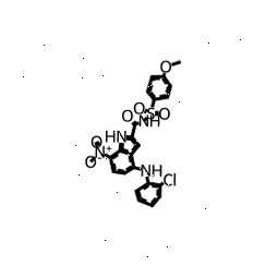 COc1ccc(S(=O)(=O)NC(=O)c2cc3c(Nc4ccccc4Cl)ccc([N+](=O)[O-])c3[nH]2)cc1